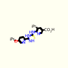 CC(C)Oc1ccc(C(=N)NC(=S)Nc2ncc(C(=O)O)cc2C(C)C)nc1